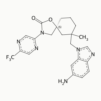 CC1(Cn2cnc3ccc(N)cc32)CCC[C@@]2(CN(c3cnc(C(F)(F)F)cn3)C(=O)O2)C1